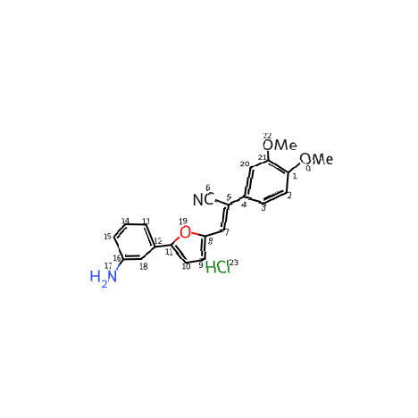 COc1ccc(C(C#N)=Cc2ccc(-c3cccc(N)c3)o2)cc1OC.Cl